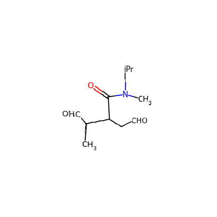 CC(C=O)C(CC=O)C(=O)N(C)C(C)C